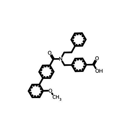 COc1ccccc1-c1ccc(C(=O)N(CCc2ccccc2)Cc2ccc(C(=O)O)cc2)cc1